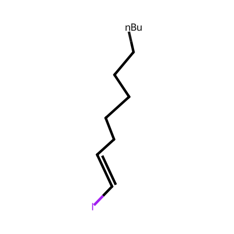 CCCCCCCCCC=CI